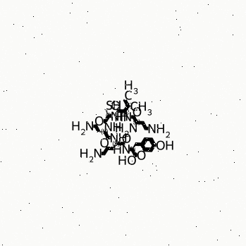 CC[C@H](C)[C@H](NC(=O)[C@@H](N)CCN)C(=O)N[C@@H](CS)C(=O)N[C@@H](CCN)C(=O)N[C@@H](CCCN)C(=O)N[C@@H](Cc1ccc(O)cc1)C(=O)O